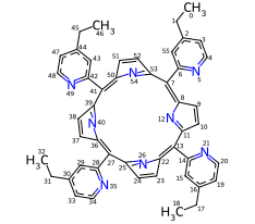 CCc1ccnc(C2=C3C=CC(=N3)C(c3cc(CC)ccn3)=C3C=CC(=N3)C(c3cc(CC)ccn3)=C3C=CC(=N3)C(c3cc(CC)ccn3)=C3C=CC2=N3)c1